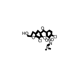 CN(C)C=NS(=O)(=O)c1cc(C(=O)c2cc3c(c(Cl)c2Cl)OC(CO)C3)ccc1Cl